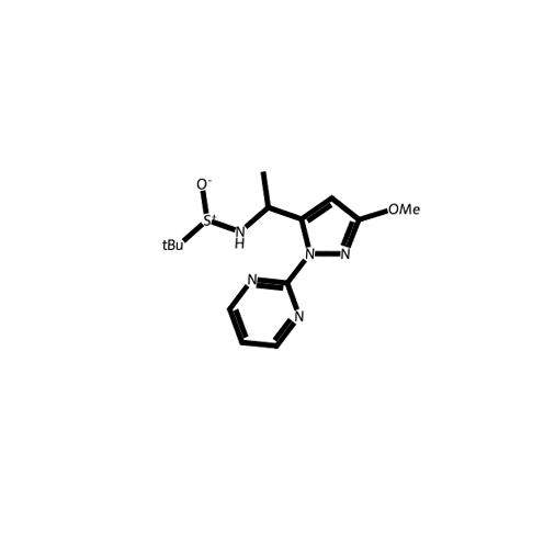 COc1cc(C(C)N[S+]([O-])C(C)(C)C)n(-c2ncccn2)n1